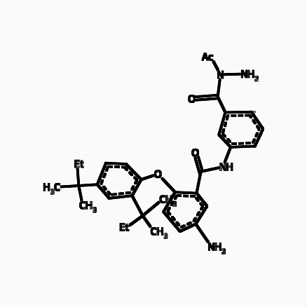 CCC(C)(C)c1ccc(Oc2ccc(N)cc2C(=O)Nc2cc[c]c(C(=O)N(N)C(C)=O)c2)c(C(C)(C)CC)c1